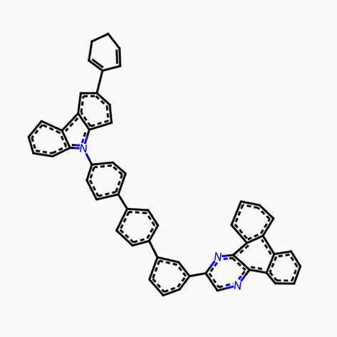 C1=CC(c2ccc3c(c2)c2ccccc2n3-c2ccc(-c3ccc(-c4cccc(-c5cnc6c7ccccc7c7ccccc7c6n5)c4)cc3)cc2)=CCC1